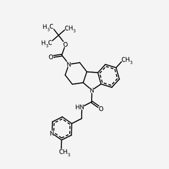 Cc1ccc2c(c1)C1CN(C(=O)OC(C)(C)C)CCC1N2C(=O)NCc1ccnc(C)c1